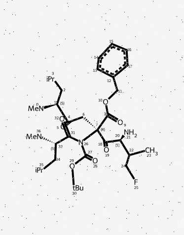 CN[C@@H](CC(C)C)C(=O)C[C@](C(=O)OCc1ccccc1)(C(=O)[C@@H](N)C(C)CF)N(C(=O)OC(C)(C)C)C(=O)[C@H](CC(C)C)NC